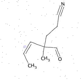 C/C=C\C(C)(C=O)CCC#N